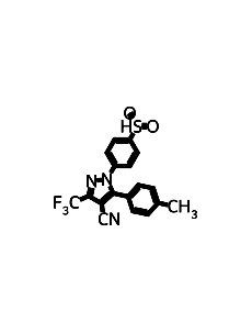 Cc1ccc(-c2c(C#N)c(C(F)(F)F)nn2-c2ccc([SH](=O)=O)cc2)cc1